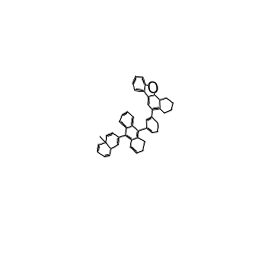 CC12C=CC=CC1C=C(c1c3c(c(C4=CCCC(C5=C6CCCCC6C6Oc7ccccc7C6=C5)=C4)c4ccccc14)CCC=C3)C=C2